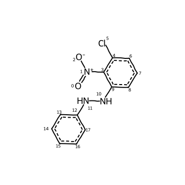 O=[N+]([O-])c1c(Cl)cccc1NNc1ccccc1